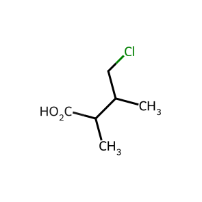 CC(CCl)C(C)C(=O)O